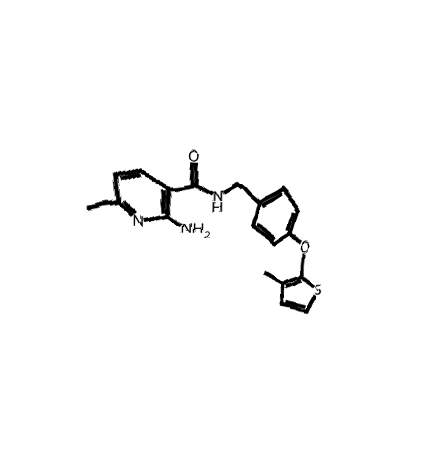 Cc1ccc(C(=O)NCc2ccc(Oc3sccc3C)cc2)c(N)n1